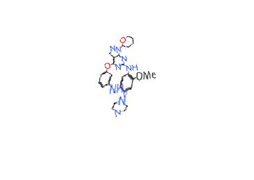 COc1cc(N2CCN(C)CC2)ccc1Nc1nc(Oc2cccc(N)c2)c2cnn(C3CCCCO3)c2n1